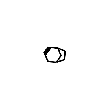 C1#CC2CCC(C1)C2